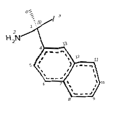 C[C@](N)(I)c1ccc2ccccc2c1